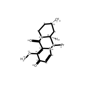 CC(C)N1[C@@H]2C[C@@H](C(F)(F)F)CCN2C(=O)c2c(OP)c(=O)ccn21